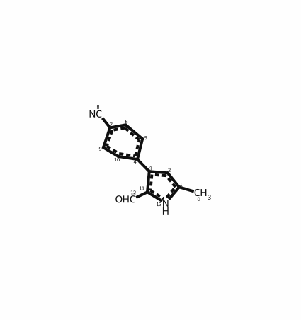 Cc1cc(-c2ccc(C#N)cc2)c(C=O)[nH]1